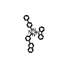 c1ccc(-c2ccc(-c3nc(-c4cccc(-c5ccc6ccccc6c5)c4)nc(-n4c5ccccc5c5ccccc54)n3)cc2)cc1